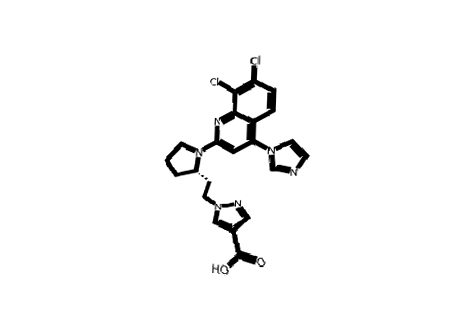 O=C(O)c1cnn(CC[C@@H]2CCCN2c2cc(-n3ccnc3)c3ccc(Cl)c(Cl)c3n2)c1